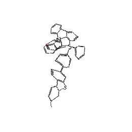 CC1C=CC2c3ccc(-c4ccc(S(c5ccccc5)(c5ccccc5)c5cccc6c7ccccc7n(C7=CC=CCC7C)c56)cc4)cc3SC2C1